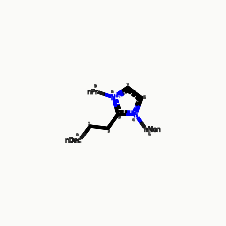 CCCCCCCCCCCCc1n(CCCCCCCCC)cc[n+]1CCC